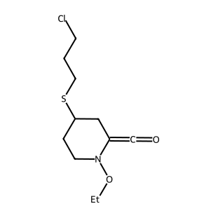 CCON1CCC(SCCCCl)CC1=C=O